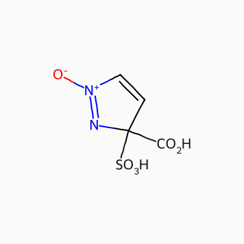 O=C(O)C1(S(=O)(=O)O)C=C[N+]([O-])=N1